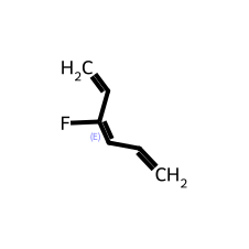 C=C/C=C(/F)C=C